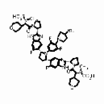 CN(C(=O)O)[C@H](C(=O)N1CCC[C@H]1c1nc2cc([C@H]3CC[C@H](c4cc5nc([C@@H]6CCCN6C(=O)[C@H](C6CCOCC6)N(C)C(=O)O)[nH]c5cc4F)N3c3cc(F)c(N4CCC(C(C)(C)C)CC4)c(F)c3)c(F)cc2[nH]1)C1CCOCC1